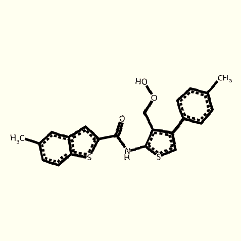 Cc1ccc(-c2csc(NC(=O)c3cc4cc(C)ccc4s3)c2COO)cc1